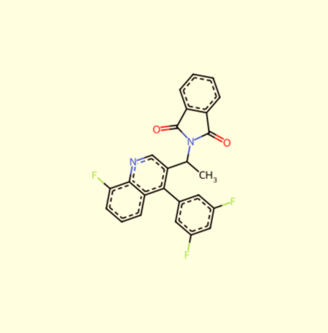 CC(c1cnc2c(F)cccc2c1-c1cc(F)cc(F)c1)N1C(=O)c2ccccc2C1=O